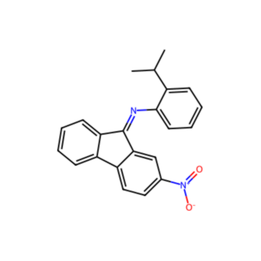 CC(C)c1ccccc1N=C1c2ccccc2-c2ccc([N+](=O)[O-])cc21